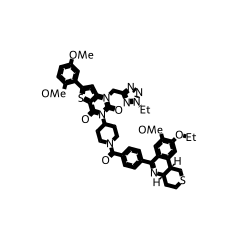 CCOc1cc2c(cc1OC)C(c1ccc(C(=O)N3CCC(n4c(=O)c5sc(-c6cc(OC)ccc6OC)cc5n(Cc5nnn(CC)n5)c4=O)CC3)cc1)=N[C@@H]1CCSC[C@H]21